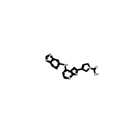 O=C(O)N1CC=C(c2cc3c(Nc4ccc5scnc5c4)ccnc3s2)C1